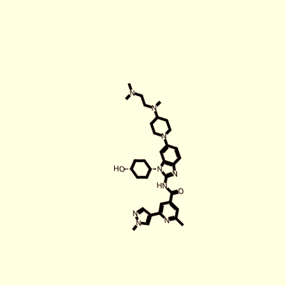 Cc1cc(C(=O)Nc2nc3ccc(N4CCC(N(C)CCN(C)C)CC4)cc3n2[C@H]2CC[C@@H](O)CC2)cc(-c2cnn(C)c2)n1